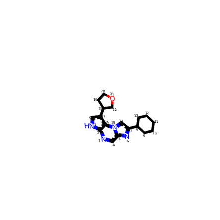 c1[nH]c2ncc3nc(C4CCCCC4)cn3c2c1C1CCOC1